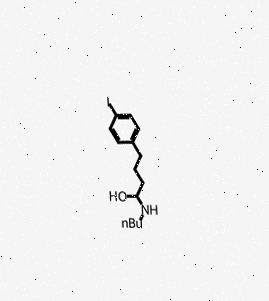 CCCCNC(O)CCCc1ccc(I)cc1